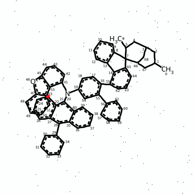 CC1CC2CC(C)C3(c4ccccc4-c4c(-c5ccc(N(c6c7ccccc7c(-c7ccccc7)c7ccccc67)c6cccc7oc8ccccc8c67)cc5-c5ccccc5)cccc43)C(C1)C2